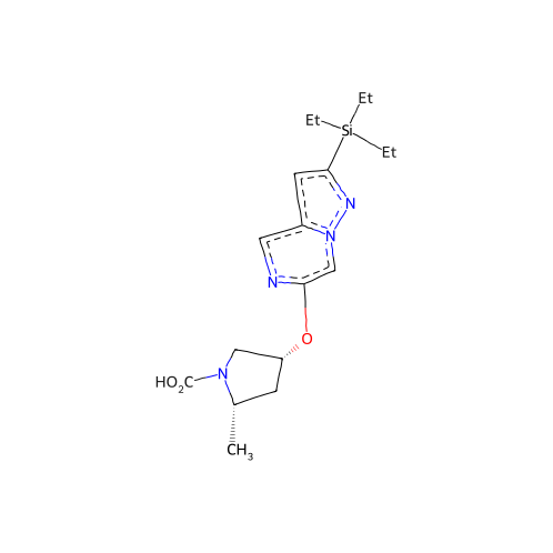 CC[Si](CC)(CC)c1cc2cnc(O[C@@H]3C[C@H](C)N(C(=O)O)C3)cn2n1